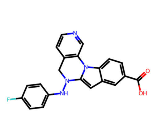 O=C(O)c1ccc2c(c1)cc1n2-c2cnccc2CN1Nc1ccc(F)cc1